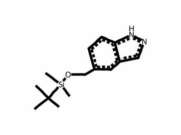 CC(C)(C)[Si](C)(C)OCc1ccc2[nH]ncc2c1